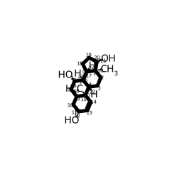 C[C@]12CC[C@H]3[C@@H]([C@H](O)CC4C[C@@H](O)C=C[C@@]43C)[C@@H]1CC[C@H]2O